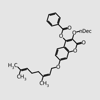 CCCCCCCCCCOc1c(OC(=O)c2ccccc2)c2ccc(OCC=C(C)CCC=C(C)C)cc2oc1=O